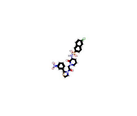 O=C1[C@@H](NS(=O)(=O)c2ccc3cc(Cl)ccc3c2)CCCN1CC(=O)N1CCSC1c1cccc([N+](=O)[O-])c1